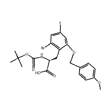 COc1ccc(COc2cc(F)cc(Br)c2C[C@H](NC(=O)OC(C)(C)C)C(=O)O)cc1